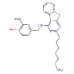 COc1cc(CNc2nc(CCCCCCC(=O)O)nc3sc4ccccc4c23)ccc1O